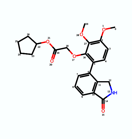 COc1ccc(-c2cccc3c2CNC3=O)c(OCC(=O)OC2CCCC2)c1OC